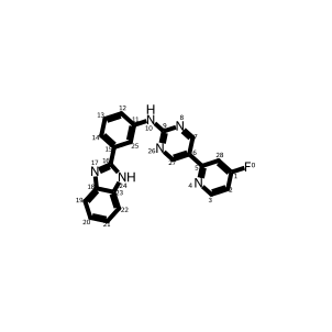 Fc1ccnc(-c2cnc(Nc3cccc(-c4nc5ccccc5[nH]4)c3)nc2)c1